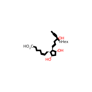 CC#CC(O)(C/C=C/[C@@H]1[C@@H](C/C=C\CCCC(=O)O)[C@@H](O)C[C@H]1O)CCCCCC